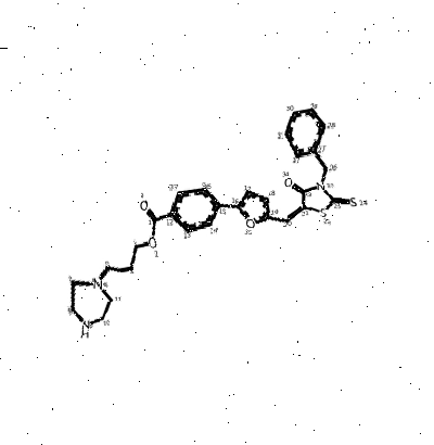 O=C(OCCCN1CCNCC1)c1ccc(-c2ccc(/C=C3/SC(=S)N(Cc4ccccc4)C3=O)o2)cc1